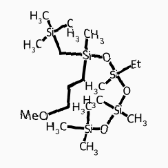 CC[Si](C)(O[Si](C)(CCCOC)C[Si](C)(C)C)O[Si](C)(C)O[Si](C)(C)C